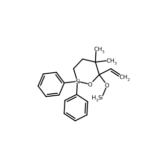 C=CC1(O[SiH3])O[Si](c2ccccc2)(c2ccccc2)CCC1(C)C